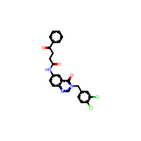 O=C(CCC(=O)c1ccccc1)Nc1ccc2ncn(Cc3ccc(Cl)c(Cl)c3)c(=O)c2c1